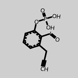 C#CCc1cccc(OP(=O)(O)O)c1I=O